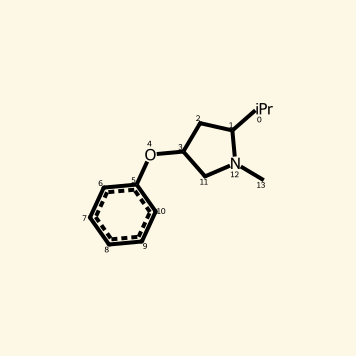 CC(C)C1CC(Oc2ccccc2)CN1C